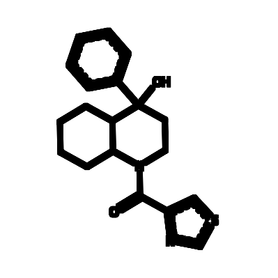 O=C(c1cscn1)N1CCC(O)(c2ccccc2)C2CCCCC21